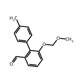 COCOc1cccc(C=O)c1-c1ccc(C)cc1